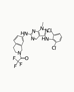 Cn1nc(Nc2c(Cl)cccc2Cl)c2cnc(Nc3ccc4c(c3)CN(C(=O)C(F)(F)F)CC4)nc21